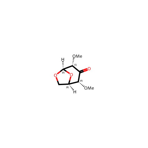 CO[C@@H]1C(=O)[C@H](OC)[C@H]2CO[C@@H]1O2